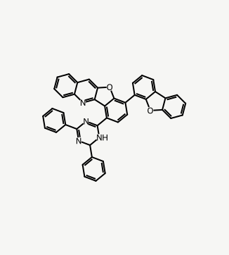 c1ccc(C2=NC(c3ccccc3)NC(c3ccc(-c4cccc5c4oc4ccccc45)c4oc5cc6ccccc6nc5c34)=N2)cc1